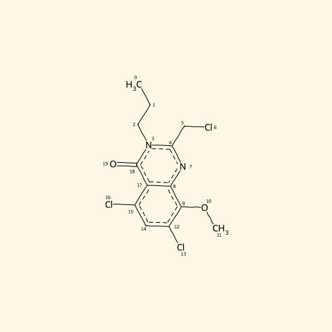 CCCn1c(CCl)nc2c(OC)c(Cl)cc(Cl)c2c1=O